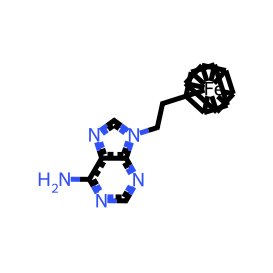 Nc1ncnc2c1ncn2CC[C]12[CH]3[CH]4[CH]5[CH]1[Fe]45321678[CH]2[CH]1[CH]6[CH]7[CH]28